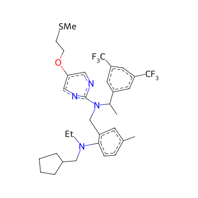 CCN(CC1CCCC1)c1ccc(C)cc1CN(c1ncc(OCCSC)cn1)C(C)c1cc(C(F)(F)F)cc(C(F)(F)F)c1